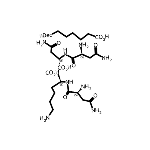 CCCCCCCCCCCCCCCC(=O)O.NC(=O)C[C@H](NC(=O)[C@@H](N)CC(N)=O)C(=O)O.NCCCC[C@H](NC(=O)[C@@H](N)CC(N)=O)C(=O)O